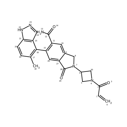 C=CC(=O)N1CC(N2Cc3cc(C(N)=O)c(-c4c(C)ccc5[nH]ncc45)cc3C2=O)C1